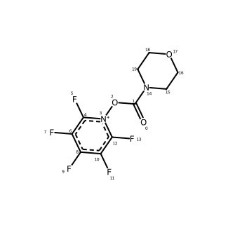 O=C(O[n+]1c(F)c(F)c(F)c(F)c1F)N1CCOCC1